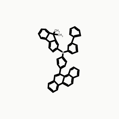 CC1(C)c2ccccc2-c2ccc(N(c3ccc(-c4cc5ccccc5c5ccc6ccccc6c45)cc3)c3cccc(-c4ccccc4)c3)cc21